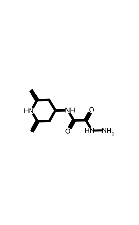 C=C1CC(NC(=O)C(=O)NN)CC(=C)N1